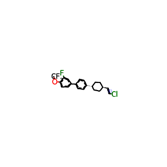 Fc1cc(-c2ccc([C@H]3CC[C@H](/C=C/Cl)CC3)cc2)ccc1OC(F)(F)F